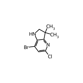 CC1(C)CNc2c(Br)cc(Cl)nc21